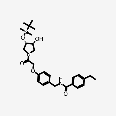 CCc1ccc(C(=O)NCc2ccc(OCC(=O)N3C[C@H](O[Si](C)(C)C(C)(C)C)[C@@H](O)C3)cc2)cc1